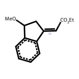 CCOC(=O)/C=C1\CC(OC)c2ccccc21